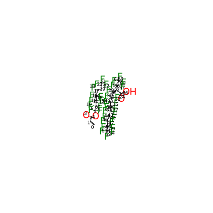 C=CC(=O)OC(F)(F)C(F)(F)C(F)(F)C(F)(F)C(F)CC(F)(F)F.O=C(O)C(=C(F)C(F)(F)C(F)(F)C(F)(F)C(F)(F)C(F)(F)C(F)(F)C(F)(F)C(F)(F)F)C(F)(F)C(F)(F)F